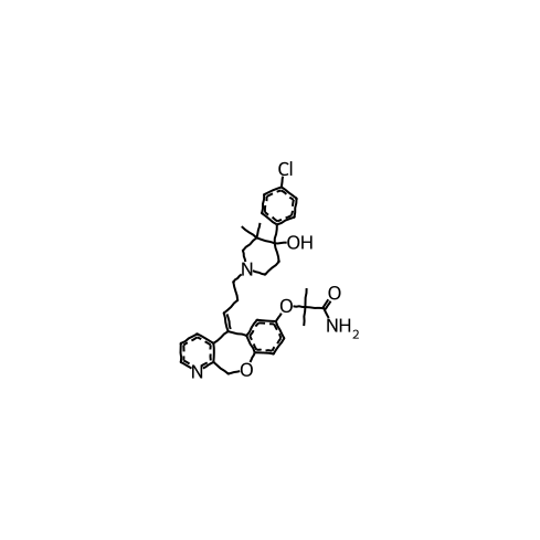 CC(C)(Oc1ccc2c(c1)C(=CCCN1CCC(O)(c3ccc(Cl)cc3)C(C)(C)C1)c1cccnc1CO2)C(N)=O